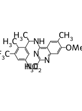 COc1cc2nc(C)nc(N[C@H](C)c3cc([N+](=O)[O-])cc(C(F)(F)F)c3C)c2cc1C